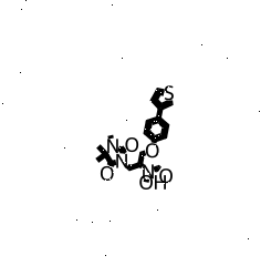 CN1C(=O)N(CC(COc2ccc(-c3ccsc3)cc2)N(O)C=O)C(=O)C1(C)C